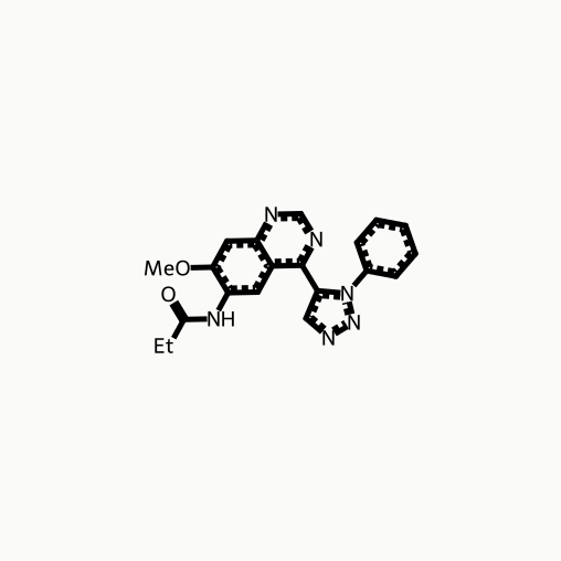 CCC(=O)Nc1cc2c(-c3cnnn3-c3ccccc3)ncnc2cc1OC